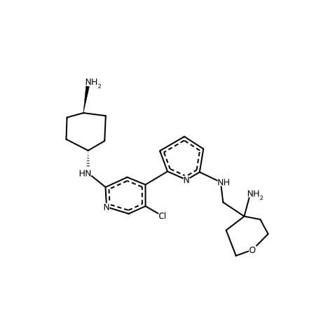 NC1(CNc2cccc(-c3cc(N[C@H]4CC[C@H](N)CC4)ncc3Cl)n2)CCOCC1